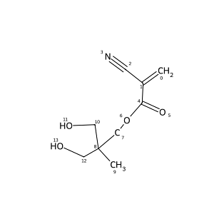 C=C(C#N)C(=O)OCC(C)(CO)CO